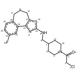 O=C(CCl)N1CCC(CNc2nc3c(s2)CCCc2ccc(F)cc2-3)CC1